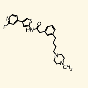 CN1CCN(CCCCc2cccc(CC(=O)Nc3cc(-c4ccnc(F)c4)cs3)c2)CC1